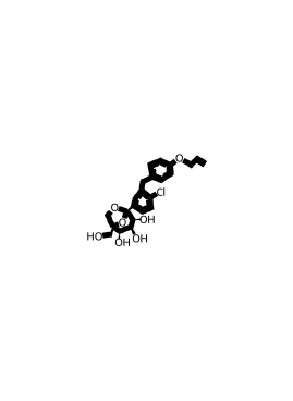 C=CCOc1ccc(Cc2cc([C@]34OC[C@](CO)(O3)[C@@H](O)[C@H](O)[C@H]4O)ccc2Cl)cc1